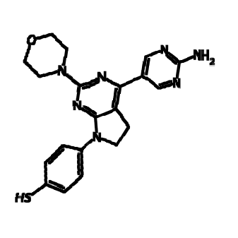 Nc1ncc(-c2nc(N3CCOCC3)nc3c2CCN3c2ccc(S)cc2)cn1